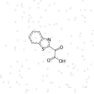 O=C(O)C(=O)c1nc2ccccc2s1